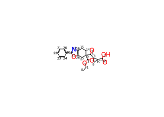 CCOC(=O)C1(C(=O)C2CC2C(=O)O)CCc2nc(-c3ccccc3)oc2C1